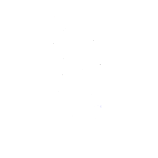 O=CC1Nc2cc(C3(O)CCC(=O)CC3)ccc2S1